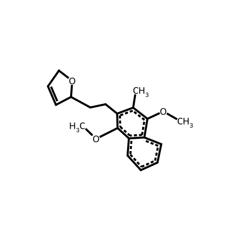 COc1c(C)c(CCC2C=CCO2)c(OC)c2ccccc12